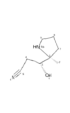 C[C@@]1([C@H](O)CC#N)CCCN1